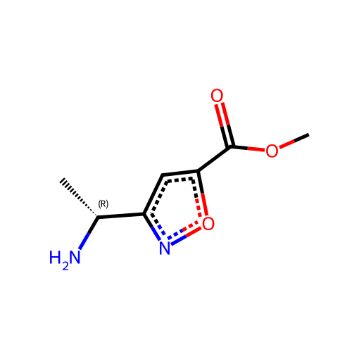 COC(=O)c1cc([C@@H](C)N)no1